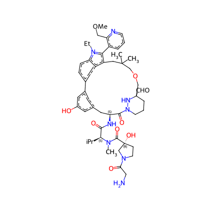 CCn1c(-c2cccnc2COC)c2c3cc(ccc31)-c1cc(O)cc(c1)C[C@H](NC(=O)[C@H](C(C)C)N(C)C(=O)[C@@]1(O)CCN(C(=O)CN)C1)C(=O)N1CCCC(C=O)(COCC(C)(C)C2)N1